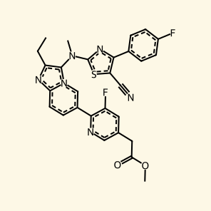 CCc1nc2ccc(-c3ncc(CC(=O)OC)cc3F)cn2c1N(C)c1nc(-c2ccc(F)cc2)c(C#N)s1